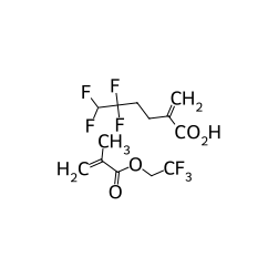 C=C(C)C(=O)OCC(F)(F)F.C=C(CCC(F)(F)C(F)F)C(=O)O